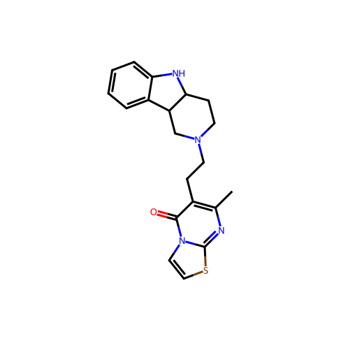 Cc1nc2sccn2c(=O)c1CCN1CCC2Nc3ccccc3C2C1